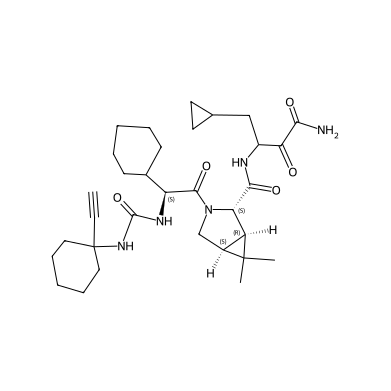 C#CC1(NC(=O)N[C@H](C(=O)N2C[C@H]3[C@@H]([C@H]2C(=O)NC(CC2CC2)C(=O)C(N)=O)C3(C)C)C2CCCCC2)CCCCC1